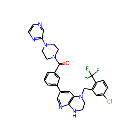 O=C(c1cccc(-c2cnc3c(c2)N(Cc2cc(Cl)ccc2C(F)(F)F)CCN3)c1)N1CCN(c2cnccn2)CC1